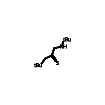 CC(C)(C)CC(=S)CNC(C)(C)C